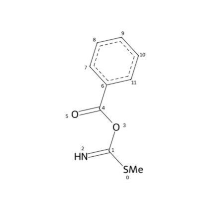 CSC(=N)OC(=O)c1ccccc1